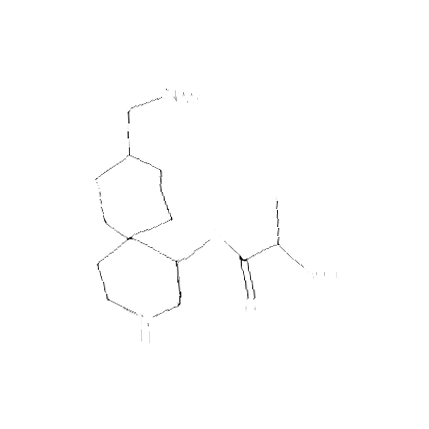 CCCCCCCCC(CC)C(=O)OC1CNCCC12CCC(CNC)CC2